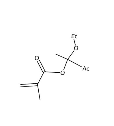 C=C(C)C(=O)OC(C)(OCC)C(C)=O